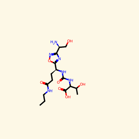 CCCNC(=O)CC[C@H](NC(=O)NC(C(=O)O)C(C)O)c1nc([C@@H](N)CO)no1